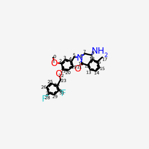 COc1cc(CN(CCN)C(=O)c2cccc(C)c2)ccc1OCc1ccc(F)cc1F